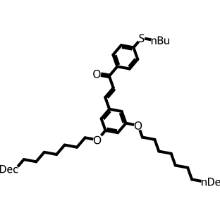 CCCCCCCCCCCCCCCCCOc1cc(C=CC(=O)c2ccc(SCCCC)cc2)cc(OCCCCCCCCCCCCCCCCC)c1